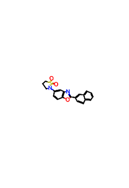 O=S1(=O)CCCN1c1ccc2oc(-c3ccc4ccccc4c3)nc2c1